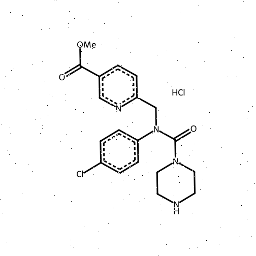 COC(=O)c1ccc(CN(C(=O)N2CCNCC2)c2ccc(Cl)cc2)nc1.Cl